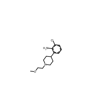 COCCN1CCC(c2cccc(Cl)c2N)CC1